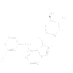 C#Cc1cccc(Nc2ncnn3ccc(OC4CCC(N)[C@H](O)C4)c23)c1